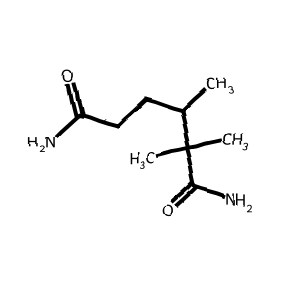 CC(CCC(N)=O)C(C)(C)C(N)=O